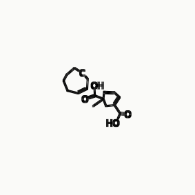 C1=CCCCCCC1.CC1(C(=O)O)C=CC=C(C(=O)O)C1